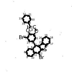 COc1cc(-c2c3ccccc3c(Br)c3sc4ccccc4c23)cc(Br)c1OCc1ccccc1